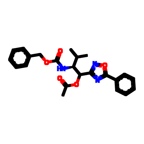 CC(=O)OC(c1noc(-c2ccccc2)n1)[C@@H](NC(=O)OCc1ccccc1)C(C)C